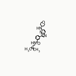 CN(C)CCNC(=O)c1cccc(-c2cnc3ccc(NC4CCOCC4)nn23)c1